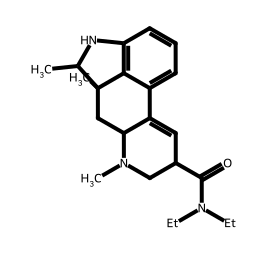 CCN(CC)C(=O)C1C=C2c3cccc4c3C(C)(CC2N(C)C1)C(C)N4